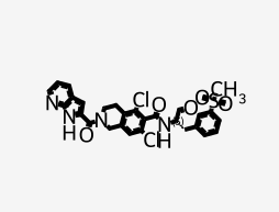 CS(=O)(=O)c1cccc(C[C@@H](C=O)NC(=O)c2c(Cl)cc3c(c2Cl)CCN(C(=O)c2cc4cccnc4[nH]2)C3)c1